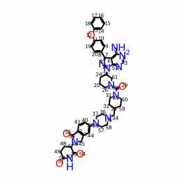 Nc1ncnc2c1c(-c1ccc(Oc3ccccc3)cc1)nn2C1CCCN(C(=O)N2CCC(CN3CCN(c4ccc5c(c4)CN(C4CCC(=O)NC4=O)C5=O)CC3)CC2)C1